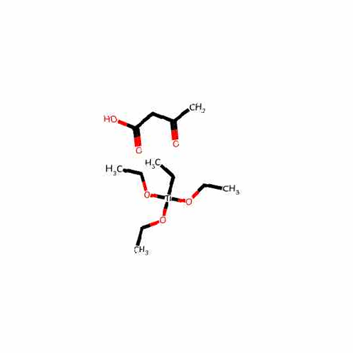 CC(=O)CC(=O)O.CC[O][Ti]([CH2]C)([O]CC)[O]CC